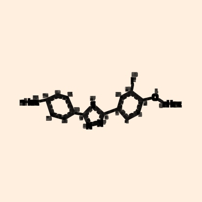 CCCCCCOc1ccc(-c2nnc(-c3ccc(CCCCCC)cc3)s2)cc1F